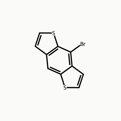 Brc1c2ccsc2cc2ccsc12